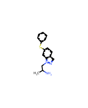 CC(N)Cn1ncc2ccc(Sc3ccccc3)cc21